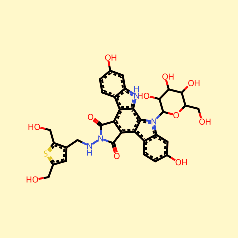 O=C1c2c(c3c4ccc(O)cc4n(C4OC(CO)C(O)C(O)C4O)c3c3[nH]c4cc(O)ccc4c23)C(=O)N1NCc1cc(CO)sc1CO